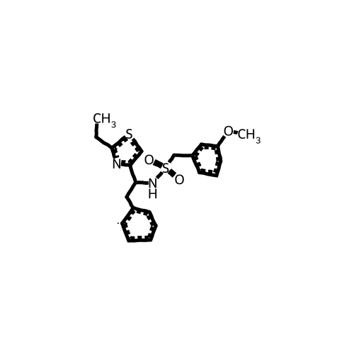 CCc1nc(C(Cc2[c]cccc2)NS(=O)(=O)Cc2cccc(OC)c2)cs1